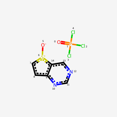 O=P(Cl)(Cl)Cl.[O-][s+]1ccc2ncncc21